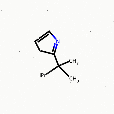 CC(C)C(C)(C)C1=NC=CC1